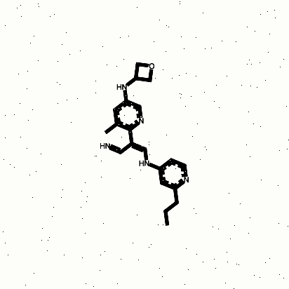 CCCc1cc(N/C=C(\C=N)c2ncc(NC3COC3)cc2C)ccn1